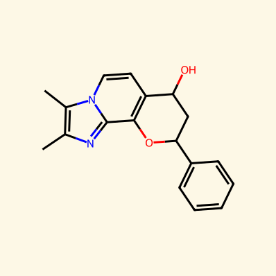 Cc1nc2c3c(ccn2c1C)C(O)CC(c1ccccc1)O3